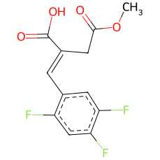 COC(=O)C/C(=C\c1cc(F)c(F)cc1F)C(=O)O